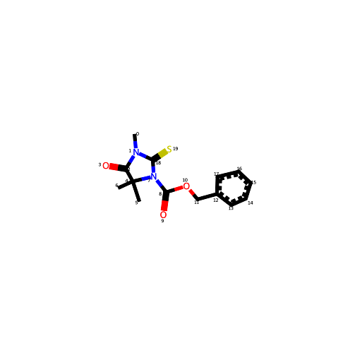 CN1C(=O)C(C)(C)N(C(=O)OCc2ccccc2)C1=S